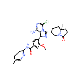 COc1cc(C(=O)Nc2ccc(C)cn2)ccc1-c1nc([C@@H]2CC[C@H]3CCC(=O)N3C2)n2c(Cl)cnc(N)c12